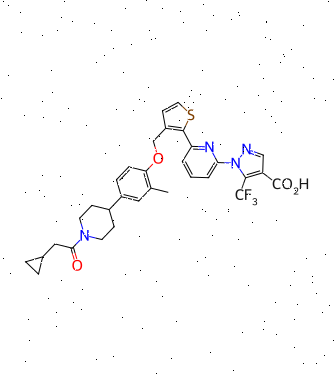 Cc1cc(C2CCN(C(=O)CC3CC3)CC2)ccc1OCc1ccsc1-c1cccc(-n2ncc(C(=O)O)c2C(F)(F)F)n1